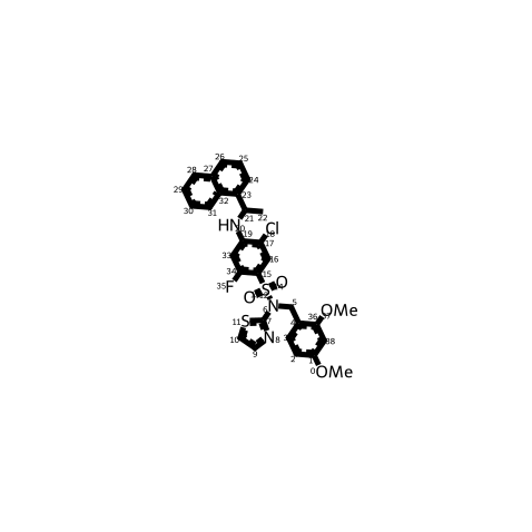 COc1ccc(CN(c2nccs2)S(=O)(=O)c2cc(Cl)c(NC(C)c3cccc4ccccc34)cc2F)c(OC)c1